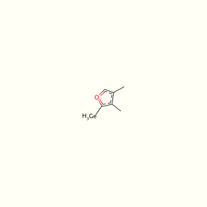 Cc1co[c]([GeH3])c1C